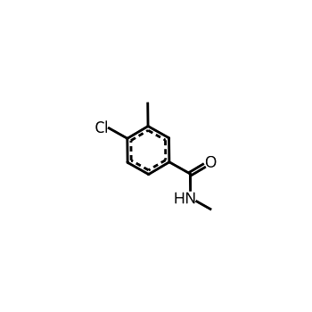 CNC(=O)c1ccc(Cl)c(C)c1